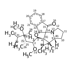 COC(C[C@]12[C@H](C)[C@@]1(C)[C@H]1CCCN1C21C(=O)c2ccccc2C1=O)[C@H](C)[C@](C)(OC)C(C)C